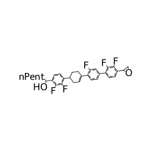 CCCCCC(O)c1ccc(C2CC=C(c3ccc(-c4ccc(C5CO5)c(F)c4F)cc3F)CC2)c(F)c1F